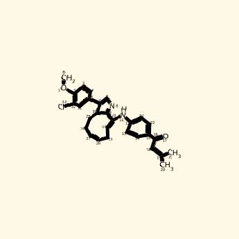 COc1ccc(C2=CN=C3/C(Nc4ccc(C(=O)C=C(C)C)cc4)=C/C/C=C\CCC23)cc1Cl